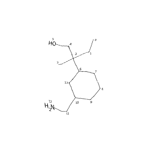 CCC(C)(CO)C1CCCC(CN)C1